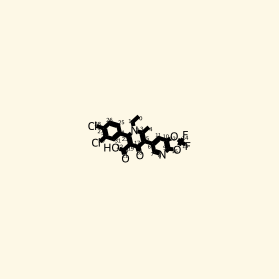 CCn1c(C)c(-c2cnc3c(c2)OC(F)(F)O3)c(=O)c(C(=O)O)c1-c1ccc(Cl)c(Cl)c1